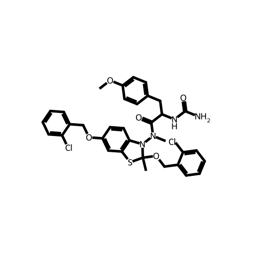 COc1ccc(CC(NC(N)=O)C(=O)N(C)N2c3ccc(OCc4ccccc4Cl)cc3SC2(C)OCc2ccccc2Cl)cc1